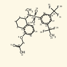 CN([C@@H]1CCCc2c(OCC(=O)O)cccc21)S(=O)(=O)c1cc(C(C)(F)F)cc(C(F)(F)F)c1